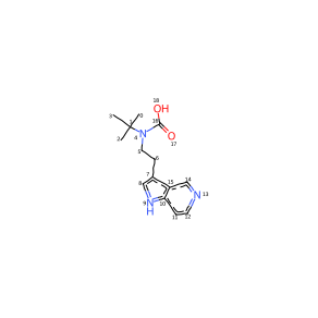 CC(C)(C)N(CCc1c[nH]c2ccncc12)C(=O)O